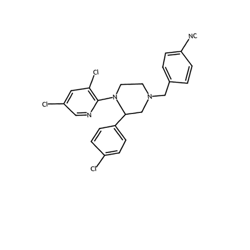 [C-]#[N+]c1ccc(CN2CCN(c3ncc(Cl)cc3Cl)C(c3ccc(Cl)cc3)C2)cc1